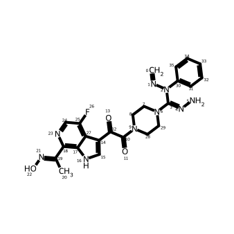 C=NN(/C(=N\N)N1CCN(C(=O)C(=O)c2c[nH]c3c(/C(C)=N/O)ncc(F)c23)CC1)c1ccccc1